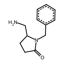 NCC1CCC(=O)N1Cc1ccccc1